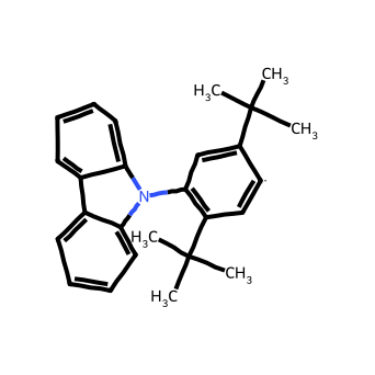 CC(C)(C)c1[c]cc(C(C)(C)C)c(-n2c3ccccc3c3ccccc32)c1